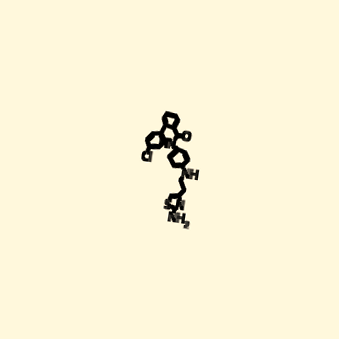 Nc1nc(CCNc2ccc(NC(=O)c3ccccc3-c3ccc(Cl)cc3)cc2)cs1